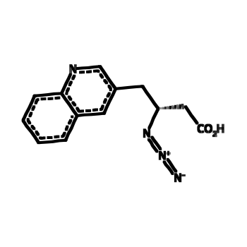 [N-]=[N+]=N[C@@H](CC(=O)O)Cc1cnc2ccccc2c1